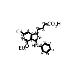 CCOc1nc(Cl)cc2c1c(Nc1ccccc1)nn2CCCC(=O)O